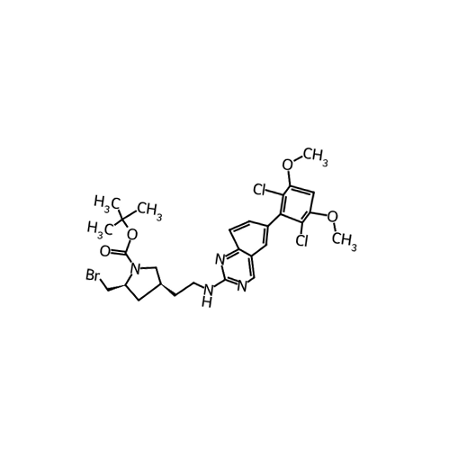 COc1cc(OC)c(Cl)c(-c2ccc3nc(NCC[C@H]4C[C@@H](CBr)N(C(=O)OC(C)(C)C)C4)ncc3c2)c1Cl